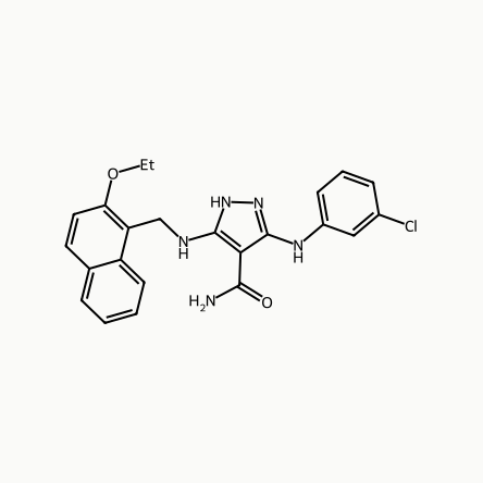 CCOc1ccc2ccccc2c1CNc1[nH]nc(Nc2cccc(Cl)c2)c1C(N)=O